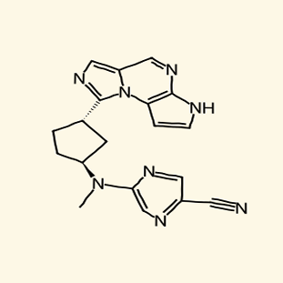 CN(c1cnc(C#N)cn1)[C@H]1CC[C@H](c2ncc3cnc4[nH]ccc4n23)C1